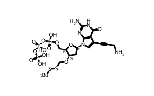 CC(C)(C)SSCO[C@@H]1C[C@H](n2cc(C#CCN)c3c(=O)[nH]c(N)nc32)O[C@@H]1COP(=O)(O)OP(=O)(O)OP(=O)(O)O